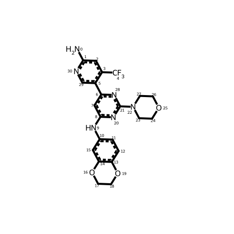 Nc1cc(C(F)(F)F)c(-c2cc(Nc3ccc4c(c3)OCCO4)nc(N3CCOCC3)n2)cn1